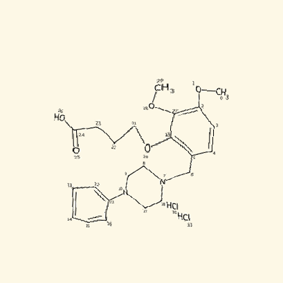 COc1ccc(CN2CCN(c3ccccc3)CC2)c(OCCCC(=O)O)c1OC.Cl.Cl